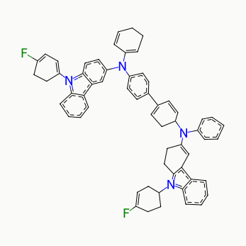 FC1=CC=C(n2c3ccccc3c3cc(N(C4=CCCC=C4)c4ccc(C5=CCC(N(C6=Cc7c(n(C8CC=C(F)CC8)c8ccccc78)CC6)c6ccccc6)C=C5)cc4)ccc32)CC1